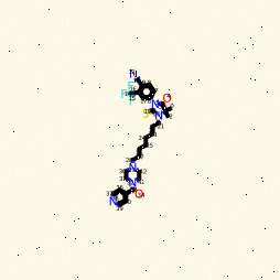 CC1(C)C(=O)N(c2ccc(C#N)c(C(F)(F)F)c2)C(=S)N1CCCCCCCCN1CCN(C(=O)c2ccncc2)CC1